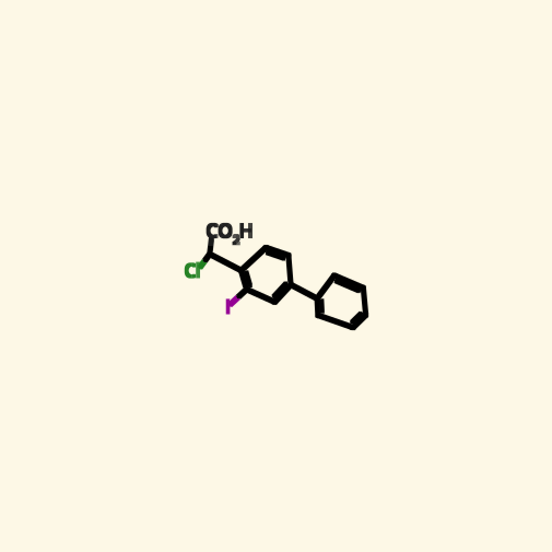 O=C(O)C(Cl)c1ccc(-c2ccccc2)cc1I